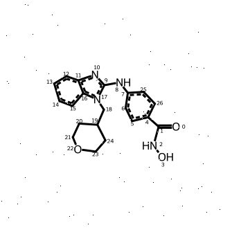 O=C(NO)c1ccc(Nc2nc3ccccc3n2CC2CCOCC2)cc1